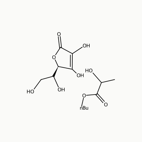 CCCCOC(=O)C(C)O.O=C1O[C@H](C(O)CO)C(O)=C1O